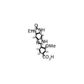 CCn1c(=O)[nH]c2cc3[nH]c(-c4ccc(C(=O)O)cc4OC)nc3cc21